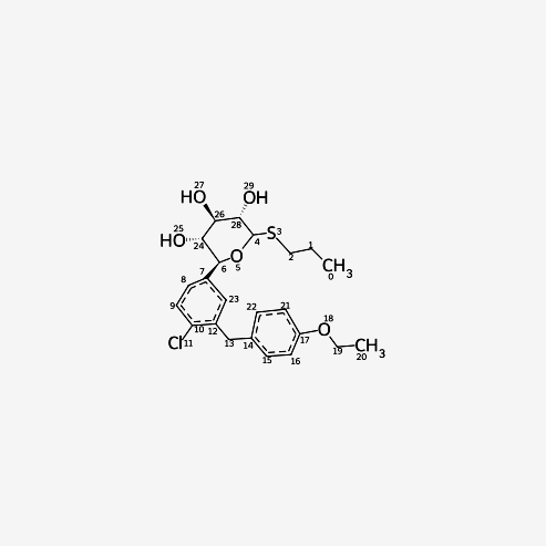 CCCSC1O[C@@H](c2ccc(Cl)c(Cc3ccc(OCC)cc3)c2)[C@H](O)[C@@H](O)[C@@H]1O